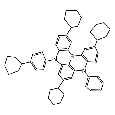 c1ccc(N2c3ccc(C4CCCCC4)cc3B3c4cc(C5CCCCC5)ccc4N(c4ccc(C5CCCCC5)cc4)c4cc(C5CCCCC5)cc2c43)cc1